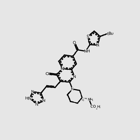 CC(C)(C)c1csc(NC(=O)c2ccn3c(=O)c(C=Cc4nn[nH]n4)c(N4CCC[C@@H](NC(=O)O)C4)nc3c2)n1